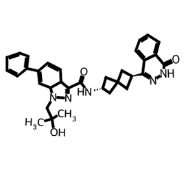 CC(C)(O)CN1N=C(C(=O)N[C@H]2CC3(C2)C[C@H](c2n[nH]c(=O)c4ccccc42)C3)C2C=CC(c3ccccc3)=CC21